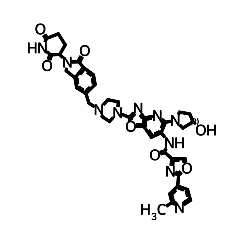 Cc1cc(-c2nc(C(=O)Nc3cc4oc(N5CCN(Cc6ccc7c(c6)CN(C6CCC(=O)NC6=O)C7=O)CC5)nc4nc3N3CC[C@@H](O)C3)co2)ccn1